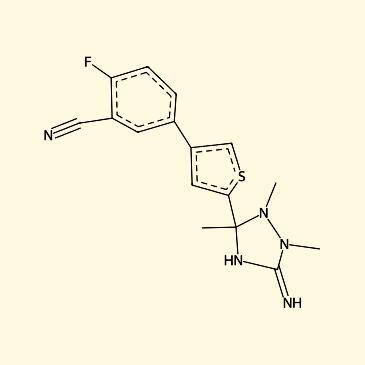 CN1C(=N)NC(C)(c2cc(-c3ccc(F)c(C#N)c3)cs2)N1C